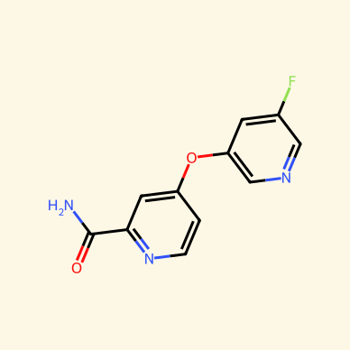 NC(=O)c1cc(Oc2cncc(F)c2)ccn1